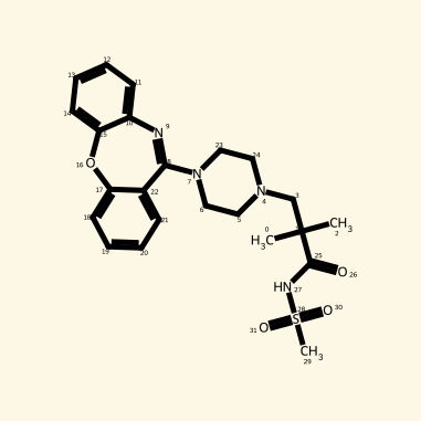 CC(C)(CN1CCN(C2=Nc3ccccc3Oc3ccccc32)CC1)C(=O)NS(C)(=O)=O